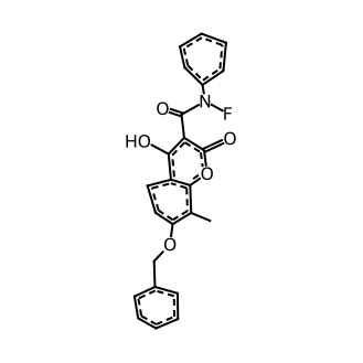 Cc1c(OCc2ccccc2)ccc2c(O)c(C(=O)N(F)c3ccccc3)c(=O)oc12